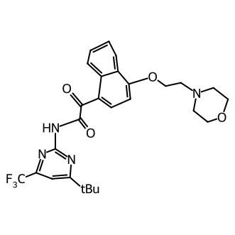 CC(C)(C)c1cc(C(F)(F)F)nc(NC(=O)C(=O)c2ccc(OCCN3CCOCC3)c3ccccc23)n1